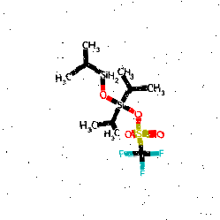 CC(C)[SiH2]O[Si](OS(=O)(=O)C(F)(F)F)(C(C)C)C(C)C